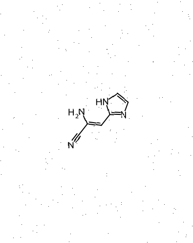 N#CC(N)=Cc1ncc[nH]1